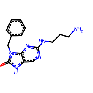 NCCCNc1ncc2[nH]c(=O)n(Cc3ccccc3)c2n1